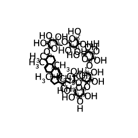 C[C@H](CC[C@@H](O[C@@H]1O[C@H](CO[C@@H]2O[C@H](CO)[C@@H](O)[C@H](O)[C@H]2O)[C@@H](O)[C@H](O)[C@H]1O[C@H]1O[C@@H](CO)[C@H](O)[C@@H](O)[C@@H]1O)C(C)(C)O)C1CC[C@@]2(C)C3CC=C4C(CC[C@H](O[C@@H]5O[C@H](CO[C@@H]6O[C@H](CO)[C@@H](O)[C@H](O)[C@H]6O)[C@@H](O)[C@H](O)[C@H]5O)C4(C)C)[C@]3(C)C=C[C@]12C